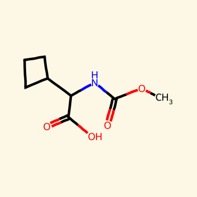 COC(=O)NC(C(=O)O)C1CCC1